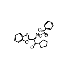 O=C(/C(=N\OS(=O)(=O)c1ccccc1)c1nc2ccccc2o1)C1CCCC1